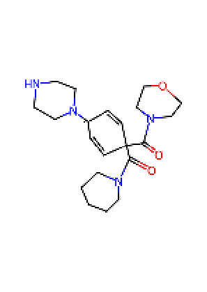 O=C(N1CCCCC1)C1(C(=O)N2CCOCC2)C=C[C](N2CCNCC2)C=C1